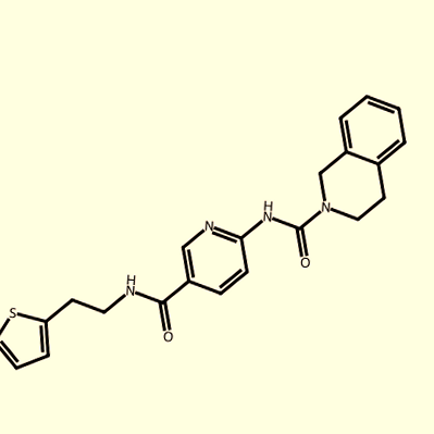 O=C(NCCc1cccs1)c1ccc(NC(=O)N2CCc3ccccc3C2)nc1